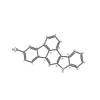 Bc1ccc2c(c1)-c1cccc3c1c-2cc1oc2ccccc2c13